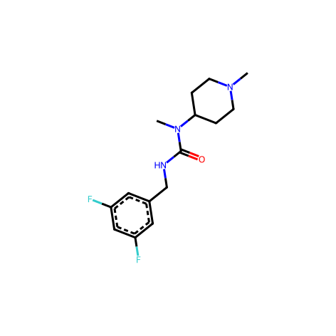 CN1CCC(N(C)C(=O)NCc2cc(F)cc(F)c2)CC1